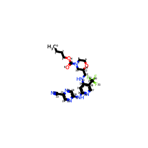 CCCCOC(=O)N1CCOC(CNc2cc(Nc3cnc(C#N)cn3)ncc2C(F)(F)F)C1